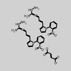 NNC(N)=[N+]=CC=Cc1cccn1-c1ccccc1[N+](=O)[O-].NNC(N)=[N+]=CC=Cc1cccn1-c1ccccc1[N+](=O)[O-].O=C([O-])/C=C/C(=O)[O-]